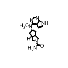 CN(c1ncnc2[nH]ccc12)[C@@H]1CC2CN(C(N)=O)C[C@H]2C1